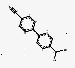 N#Cc1ccc(-c2ccc(B(O)O)cn2)cc1